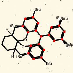 CC(C)(C)c1cc(P(c2cc(C(C)(C)C)cc(C(C)(C)C)c2)c2cccc3c2OC24Oc5c(cccc5P(c5cc(C(C)(C)C)cc(C(C)(C)C)c5)c5cc(C(C)(C)C)cc(C(C)(C)C)c5)C[C@@H]2CCC[C@H]4C3)cc(C(C)(C)C)c1